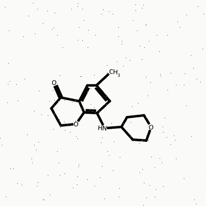 Cc1cc(NC2CCOCC2)c2c(c1)C(=O)CCO2